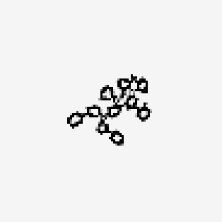 Cc1ccccc1-c1cc2c3c(c1)N1c4ccccc4C(C)(C)c4cccc(c41)B3N(c1ccccc1)c1cc(N(c3cccc(-c4ccccc4)c3)c3cccc(-c4ccccc4)c3)ccc1-2